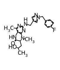 Cc1nc(NCc2cnn(Cc3ccc(F)cc3)c2)nc2c1NC(=O)C(CC(C)O)N2C